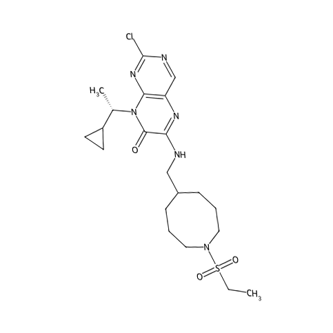 CCS(=O)(=O)N1CCCC(CNc2nc3cnc(Cl)nc3n([C@@H](C)C3CC3)c2=O)CCC1